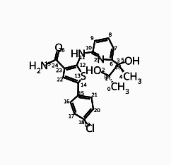 C[C@H](O)[C@@](C)(O)c1cccc(Nc2sc(-c3ccc(Cl)cc3)cc2C(N)=O)n1